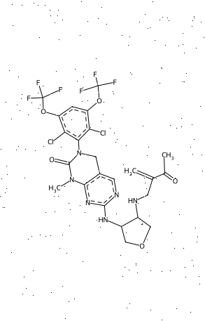 C=C(CNC1COCC1Nc1ncc2c(n1)N(C)C(=O)N(c1c(Cl)c(OC(F)(F)F)cc(OC(F)(F)F)c1Cl)C2)C(C)=O